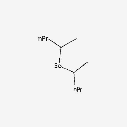 CCCC(C)[Se]C(C)CCC